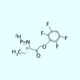 [2H]/P=N/[C@@H](CC)C(=O)COc1c(F)c(F)cc(F)c1F